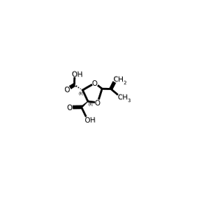 C=C(C)C1O[C@@H](C(=O)O)[C@H](C(=O)O)O1